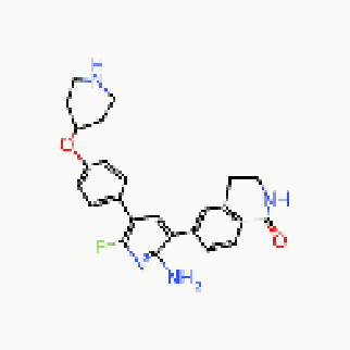 Nc1nc(F)c(-c2ccc(OC3CCNCC3)cc2)cc1-c1ccc2c(c1)CCNC2=O